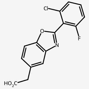 O=C(O)Cc1ccc2oc(-c3c(F)cccc3Cl)nc2c1